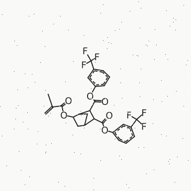 C=C(C)C(=O)OC1CC2CC1C(C(=O)Oc1cccc(C(F)(F)F)c1)C2C(=O)Oc1cccc(C(F)(F)F)c1